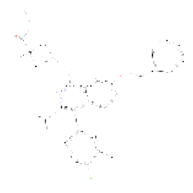 COC(=O)C1(C)CC(Oc2nc(C(C)C)c(-c3ccc(F)c(C)c3)c3ccc(OCc4ccccc4)cc23)C1